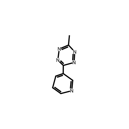 Cc1nnc(-c2cccnc2)nn1